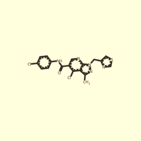 Cc1nn(Cc2cscn2)c2ncc(C(=O)Nc3ccc(Cl)cc3)c(Cl)c12